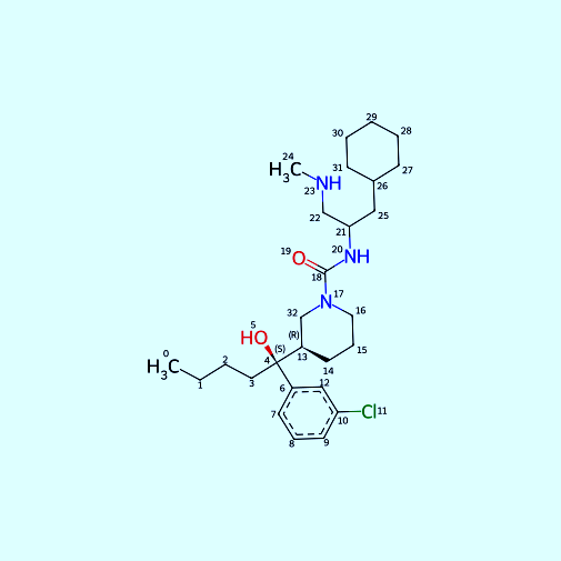 CCCC[C@@](O)(c1cccc(Cl)c1)[C@@H]1CCCN(C(=O)NC(CNC)CC2CCCCC2)C1